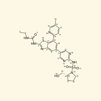 CCNC(=O)Nc1nc2cc(-c3cnc(NS(=O)(=O)N4CCC[C@@H]4CO)nc3)cc(-c3ccc(C)cn3)c2s1